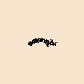 O=C1CCC(N2Cc3cc(OC4CCN(Cc5cc6ccc(C7CCOCC7)cc6cn5)C4)ccc3C2=O)C(=O)N1